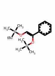 CC(C)(C)[Si](C)(C)OC=C(O[Si](C)(C)C)c1ccccc1